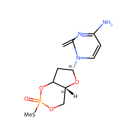 C=C1N=C(N)C=CN1[C@H]1CC2OP(=O)(SC)OC[C@H]2O1